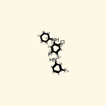 Fc1cccc(NSc2cc(Cl)c(NC3CCCCC3)cc2F)c1